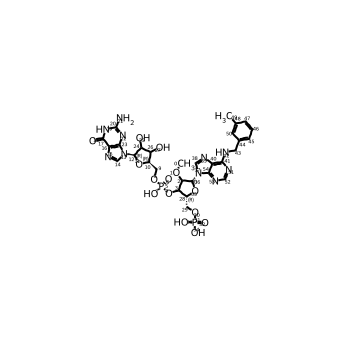 COC1C(OP(=O)(O)OC[C@H]2O[C@@H](n3cnc4c(=O)[nH]c(N)nc43)C(O)C2O)[C@@H](COP(=O)(O)O)O[C@H]1n1cnc2c(NCc3cccc(C)c3)ncnc21